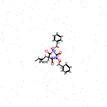 CC=CCC1(C(C)CCC)C(=O)N(OCc2ccccc2)C(=O)N(OCc2ccccc2)C1=O